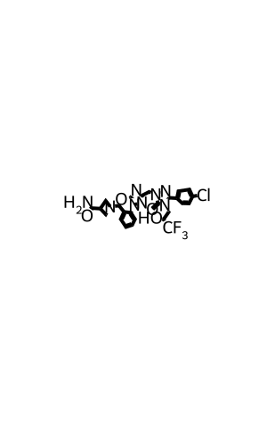 NC(=O)C1CN(C(=O)c2ccccc2-n2cnc(Cn3nc(-c4ccc(Cl)cc4)n(CC(O)C(F)(F)F)c3=O)n2)C1